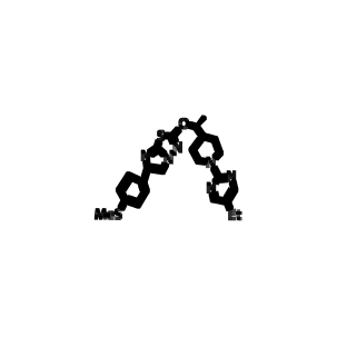 CCc1cnc(N2CCC([C@H](C)Oc3nn4cc(-c5ccc(SC)cc5)nc4s3)CC2)nc1